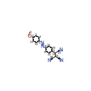 COc1ccc(/N=N/c2ccc(C(C#N)C(C#N)C#N)cc2)cc1